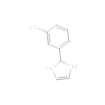 Nc1cccc(C2NC=CN2)c1